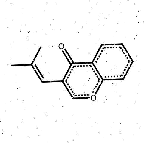 CC(C)=Cc1coc2ccccc2c1=O